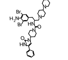 Nc1c(Br)cc(CC(CN2CCC(N3CCCCC3)CC2)NC(=O)N2CCC(n3cc(-c4ccccc4)[nH]c3=O)CC2)cc1Br